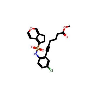 COC(=O)CCCC#Cc1cc(Cl)ccc1NS(=O)(=O)C1=C2C=COC=C2CC1